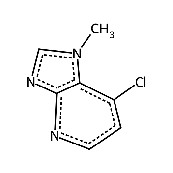 Cn1cnc2nccc(Cl)c21